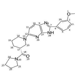 COc1cccc(-c2nc3ccc(N4CCC[C@@H](C(=O)N5CCCC5)C4)nc3[nH]2)c1